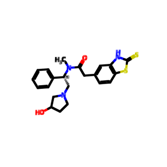 CN(C(=O)Cc1ccc2sc(=S)[nH]c2c1)[C@H](CN1CCC(O)C1)c1ccccc1